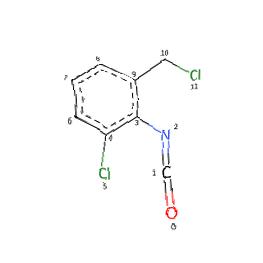 O=C=Nc1c(Cl)cccc1CCl